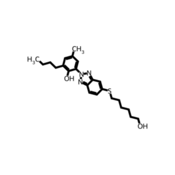 CCCCc1cc(C)cc(-n2nc3ccc(SCCCCCCO)cc3n2)c1O